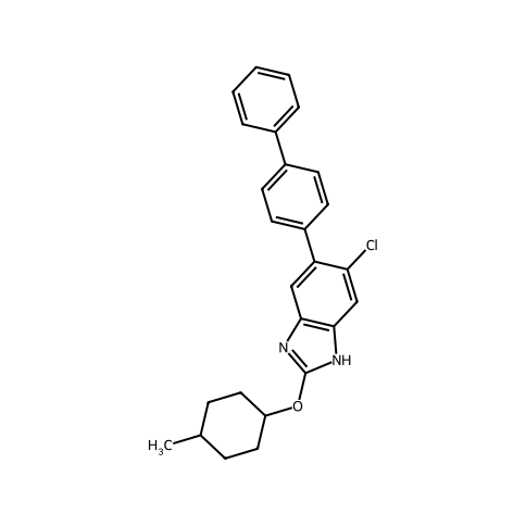 CC1CCC(Oc2nc3cc(-c4ccc(-c5ccccc5)cc4)c(Cl)cc3[nH]2)CC1